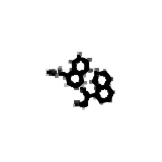 COC(=O)c1cccc2ccncc12.O=C(O)c1cccc2ccncc12